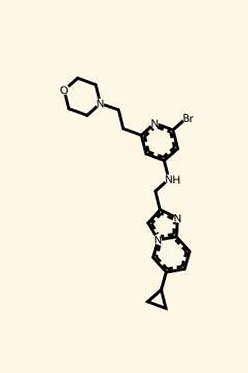 Brc1cc(NCc2cn3cc(C4CC4)ccc3n2)cc(CCN2CCOCC2)n1